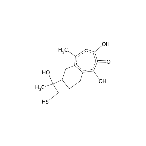 Cc1cc(O)c(=O)c(O)c2c1CC(C(C)(O)CS)CC2